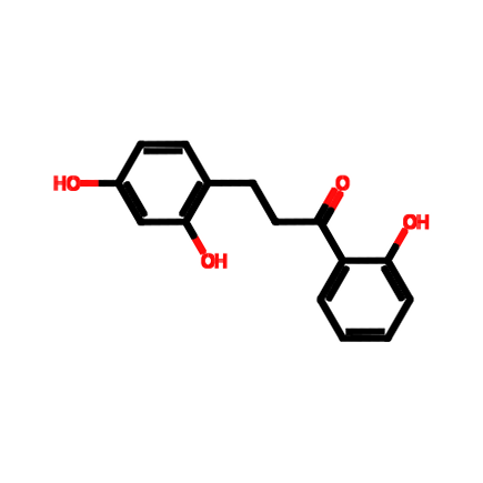 O=C(CCc1ccc(O)cc1O)c1ccccc1O